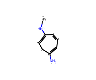 CC(C)NC1=CCC(N)=CC=C1